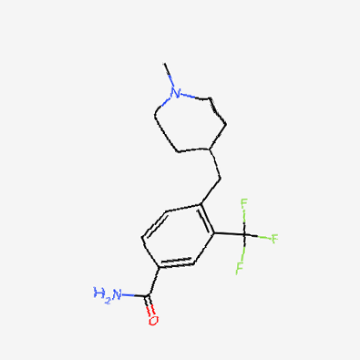 CN1CCC(Cc2ccc(C(N)=O)cc2C(F)(F)F)CC1